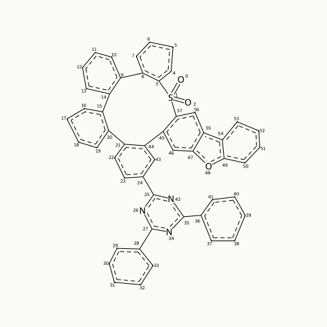 O=S1(=O)c2ccccc2-c2ccccc2-c2ccccc2-c2ccc(-c3nc(-c4ccccc4)nc(-c4ccccc4)n3)cc2-c2cc3oc4ccccc4c3cc21